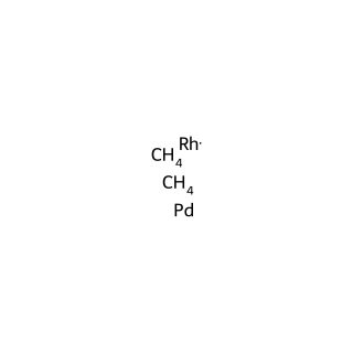 C.C.[Pd].[Rh]